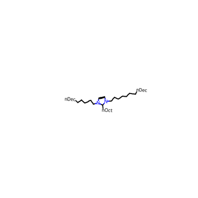 CCCCCCCCCCCCCCCCCN1C=CN(CCCCCCCCCCCCCCC)C1CCCCCCCC